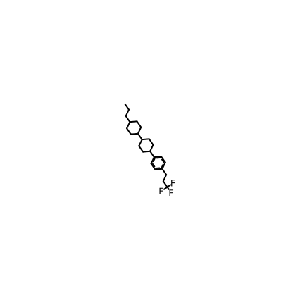 CCCC1CCC(C2CCC(c3ccc(CCC(F)(F)F)cc3)CC2)CC1